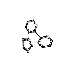 c1cnc(-c2ncccn2)nc1.c1conn1